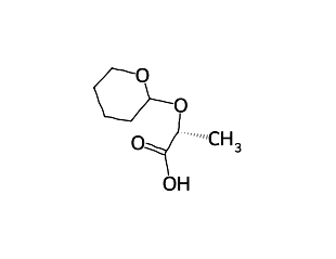 C[C@@H](OC1CCCCO1)C(=O)O